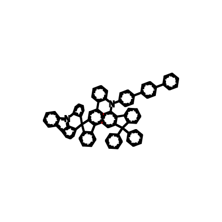 c1ccc(-c2ccc(-c3ccc(N(c4ccccc4-c4ccc5c(c4)C4(c6ccccc6-5)c5ccccc5-n5c6ccccc6c6cccc4c65)c4cccc5c4-c4ccccc4C5(c4ccccc4)c4ccccc4)cc3)cc2)cc1